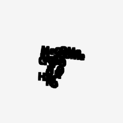 COc1cc(C(=O)N(C)CC(CCN2CCC(Nc3nc4ccccc4n3CCN3CCOCC3)CC2)c2ccc(Cl)c(Cl)c2)cc(OC)c1OC